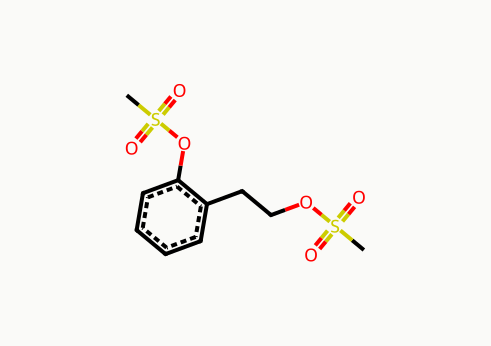 CS(=O)(=O)OCCc1ccccc1OS(C)(=O)=O